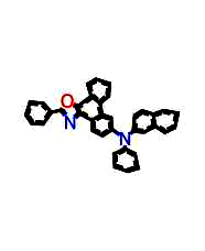 c1ccc(-c2nc3c4ccc(N(c5ccccc5)c5ccc6ccccc6c5)cc4c4ccccc4c3o2)cc1